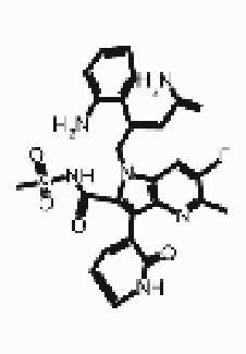 C=C(N)/C=C(/Cn1c(C(=O)NS(C)(=O)=O)c(-c2ccc[nH]c2=O)c2nc(C)c(F)cc21)c1ccccc1N